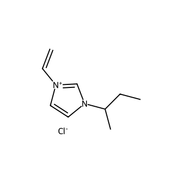 C=C[n+]1ccn(C(C)CC)c1.[Cl-]